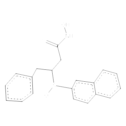 O=C(CC(Cc1ccccc1)[S+]([O-])c1ccc2ccccc2c1)NO